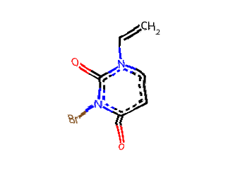 C=Cn1ccc(=O)n(Br)c1=O